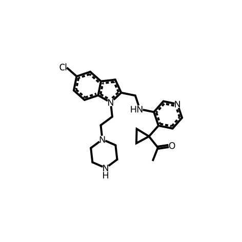 CC(=O)C1(c2ccncc2NCc2cc3cc(Cl)ccc3n2CCN2CCNCC2)CC1